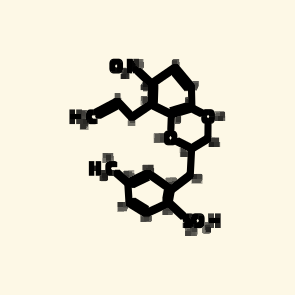 C=CCc1c([N+](=O)[O-])ccc2c1OC(Cc1cc(C)ccc1S(=O)(=O)O)CO2